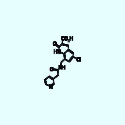 O=C(Cc1cccnc1)NCc1cc(Cl)cc2cc(C(=O)O)c(=O)[nH]c12